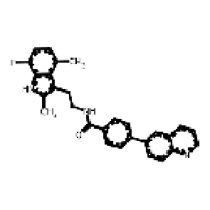 Cc1[nH]c2c(F)ccc(C)c2c1CCNC(=O)c1ccc(-c2ccc3ncccc3c2)cc1